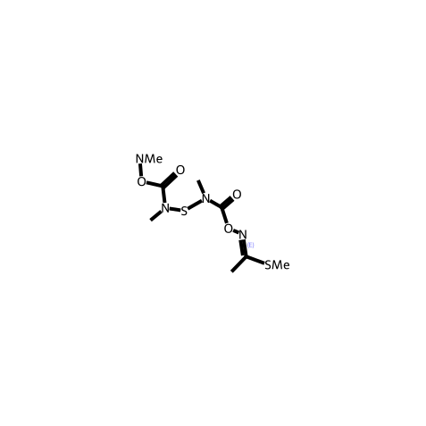 CNOC(=O)N(C)SN(C)C(=O)O/N=C(\C)SC